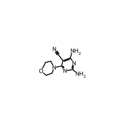 N#Cc1c(N)nc(N)nc1N1CCOCC1